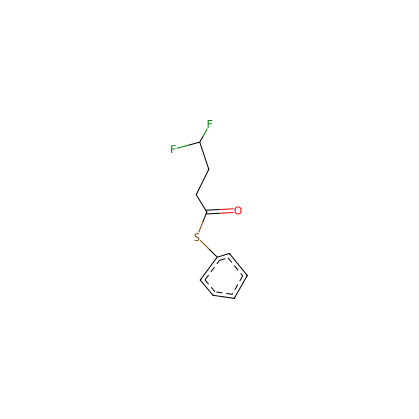 O=C(CCC(F)F)Sc1ccccc1